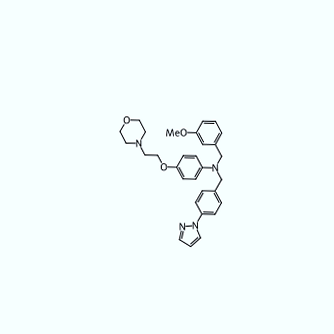 COc1cccc(CN(Cc2ccc(-n3cccn3)cc2)c2ccc(OCCN3CCOCC3)cc2)c1